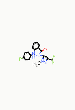 Cn1nc(C(F)F)cc1NC(=O)c1ccccc1Nc1ccc(F)cc1